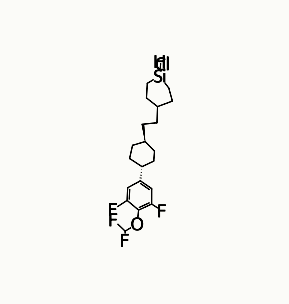 Fc1cc([C@H]2CC[C@H](CCC3CC[SiH](Cl)CC3)CC2)cc(F)c1OC(F)F